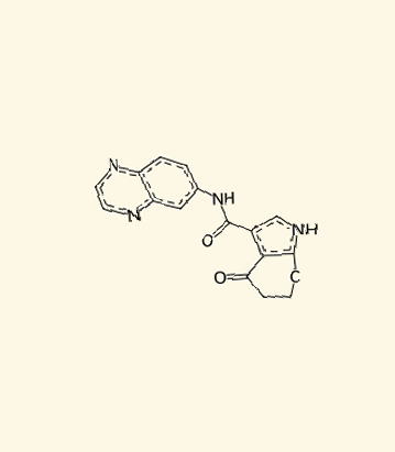 O=C(Nc1ccc2nccnc2c1)c1c[nH]c2c1C(=O)CCC2